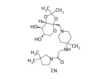 CC1(C)C[C@@H](C#N)N(C(=O)CNC2(C)CCN(C[C@@]34OC[C@@H](O)[C@@H](O)[C@@H]3OC(C)(C)O4)CC2)C1